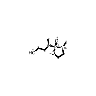 CN(CCO)P1(=O)OCCN1C